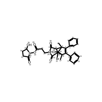 CC12C(c3ccccc3)=C(c3ccccc3)C(C)(C1O)C1(Br)C(=O)N(CCC(=O)ON3C(=O)CCC3O)C(=O)C21